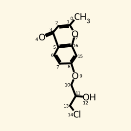 Cc1cc(=O)c2ccc(OCC(O)CCl)cc2o1